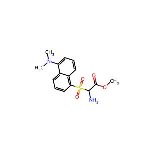 COC(=O)C(N)S(=O)(=O)c1cccc2c(N(C)C)cccc12